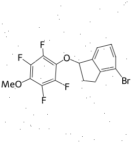 COc1c(F)c(F)c(OC2CCc3c(Br)cccc32)c(F)c1F